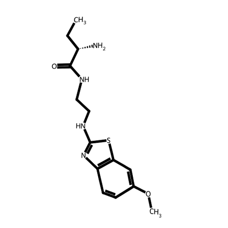 CC[C@H](N)C(=O)NCCNc1nc2ccc(OC)cc2s1